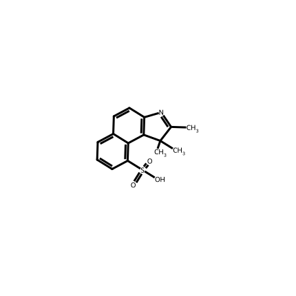 CC1=Nc2ccc3cccc(S(=O)(=O)O)c3c2C1(C)C